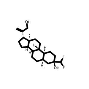 C=C(CO)[C@H]1CC[C@H]2[C@@H]3CC[C@@H]4C[C@@](O)(C(F)F)CC[C@@H]4[C@H]3CC[C@]12C